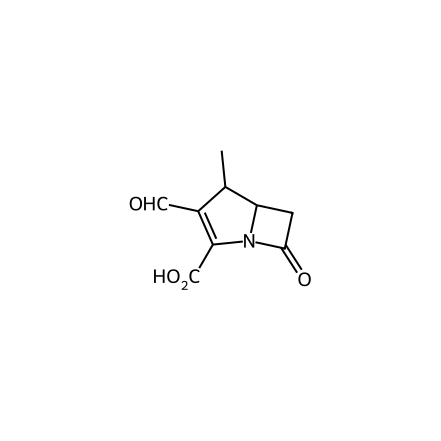 CC1C(C=O)=C(C(=O)O)N2C(=O)CC12